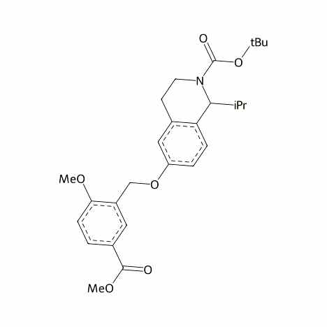 COC(=O)c1ccc(OC)c(COc2ccc3c(c2)CCN(C(=O)OC(C)(C)C)C3C(C)C)c1